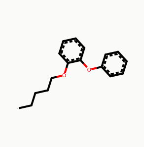 [CH2]CCCCOc1ccccc1Oc1ccccc1